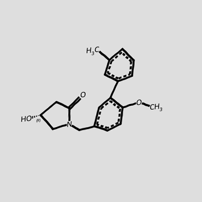 COc1ccc(CN2C[C@H](O)CC2=O)cc1-c1cccc(C)c1